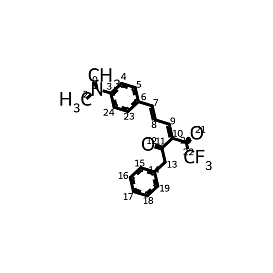 CN(C)c1ccc(/C=C/C=C(\C(=O)Cc2ccccc2)C(=O)C(F)(F)F)cc1